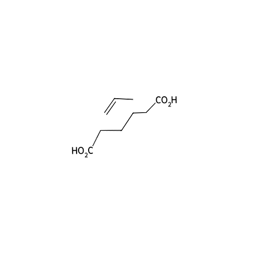 C=CC.O=C(O)CCCCC(=O)O